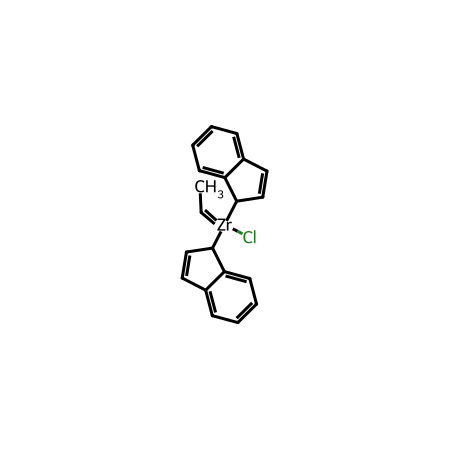 C[CH]=[Zr]([Cl])([CH]1C=Cc2ccccc21)[CH]1C=Cc2ccccc21